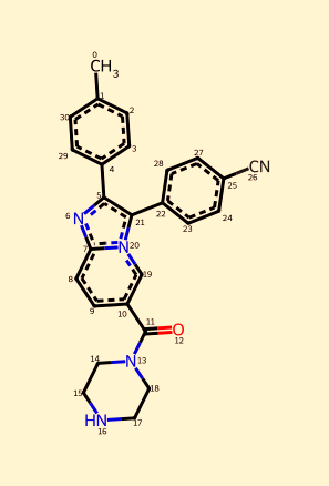 Cc1ccc(-c2nc3ccc(C(=O)N4CCNCC4)cn3c2-c2ccc(C#N)cc2)cc1